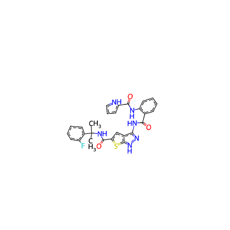 CC(C)(NC(=O)c1cc2c(NC(=O)c3ccccc3NC(=O)c3ccc[nH]3)n[nH]c2s1)c1ccccc1F